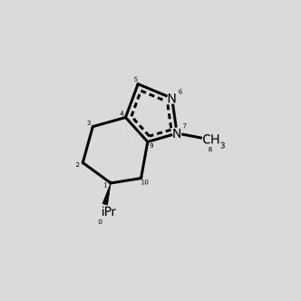 CC(C)[C@H]1CCc2cnn(C)c2C1